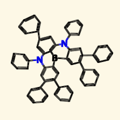 c1ccc(-c2cc3c4c(c2)N(c2ccccc2)c2cc(-c5ccccc5)c(-c5ccccc5)cc2B4c2cc(-c4ccccc4)c(-c4ccccc4)cc2N3c2ccccc2)cc1